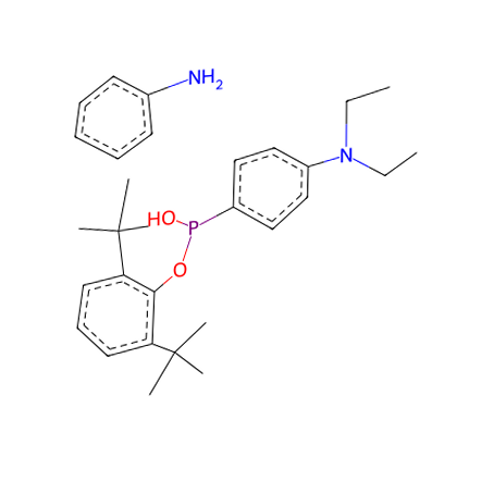 CCN(CC)c1ccc(P(O)Oc2c(C(C)(C)C)cccc2C(C)(C)C)cc1.Nc1ccccc1